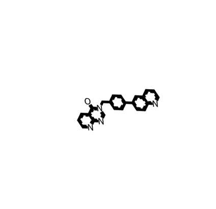 O=c1c2cccnc2ncn1Cc1ccc(-c2ccc3ncccc3c2)cc1